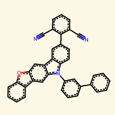 N#Cc1cccc(C#N)c1-c1ccc2c(c1)c1cc3oc4ccccc4c3cc1n2-c1cccc(-c2ccccc2)c1